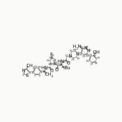 Cc1ncsc1-c1ccc([C@H](C)NC(=O)[C@@H]2C[C@@H](F)CN2C(=O)[C@@H](NC(=O)CN2CCN(c3cc(-c4ccccc4O)nnc3N)CC2)C(C)(C)C)cc1